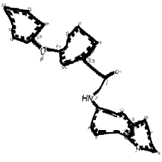 O=C(Nc1ccc2ncccc2c1)c1cccc(Oc2ccccc2)c1